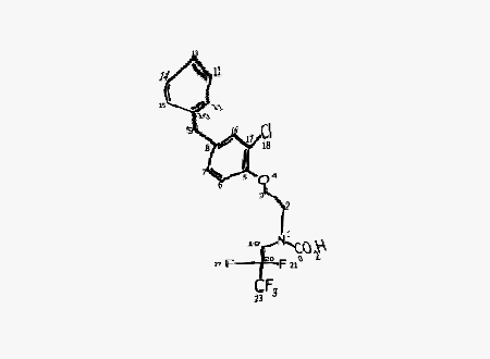 O=C(O)N(CCOc1ccc(Cc2ccccc2)cc1Cl)CC(F)(F)C(F)(F)F